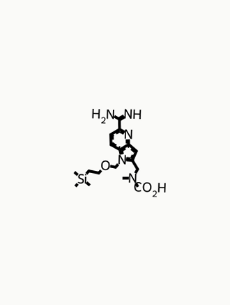 CN(Cc1cc2nc(C(=N)N)ccc2n1COCC[Si](C)(C)C)C(=O)O